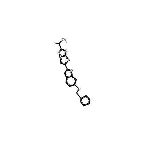 CC(F)c1nn2cc(-c3cc4ccc(OCc5ccccc5)cc4o3)nc2s1